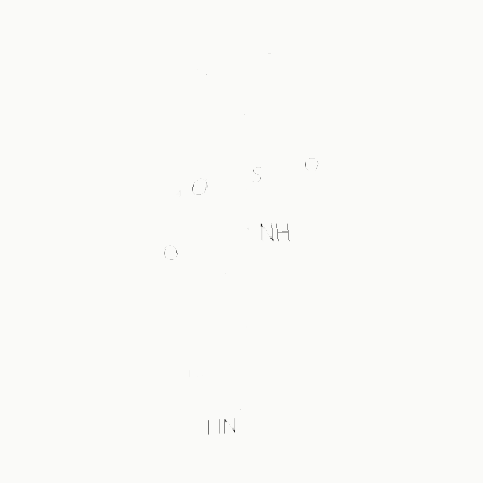 O=C(NS(=O)(=O)C1CC1)C1CCNC1